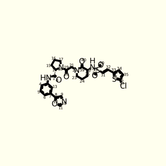 O=C(Nc1cccc(-c2cnco2)c1)[C@@H]1CCCN1C(=O)CN1CCC[C@H](NS(=O)(=O)/C=C/c2ccc(Cl)s2)C1=O